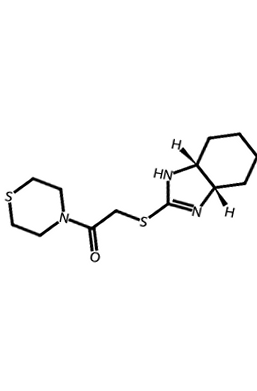 O=C(CSC1=N[C@H]2CCCC[C@H]2N1)N1CCSCC1